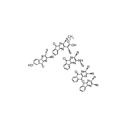 CCOC(O)=C(C#N)c1nc2c(nc1C#N)C(=O)c1ccccc1-2.N#CNc1nc2c(nc1C#N)C(=O)c1ccccc1-2.N#Cc1nc2c(nc1C#N)-c1ccc(O)cc1C2=O.N#Cc1nc2c(nc1C#N)C(=O)c1ccccc1C2=O.N#Cc1nc2sc3ccccc3c2nc1C#N